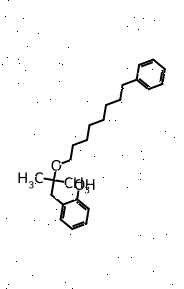 CC(C)(Cc1ccccc1O)OCCCCCCCCc1ccccc1